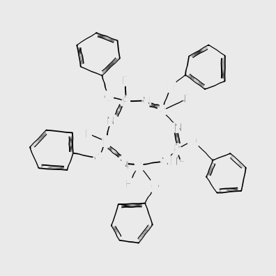 FP1(Oc2ccccc2)=NP(F)(Oc2ccccc2)=N[PH](F)(Oc2ccccc2)NP(F)(Oc2ccccc2)=NP(F)(Oc2ccccc2)=N1